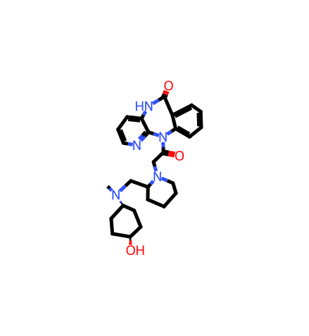 CN(CC1CCCCN1CC(=O)N1c2ccccc2C(=O)Nc2cccnc21)[C@H]1CC[C@H](O)CC1